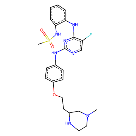 CN1CCNC(CCOc2ccc(Nc3ncc(F)c(Nc4ccccc4NS(C)(=O)=O)n3)cc2)C1